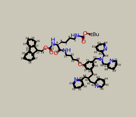 CC(C)(C)OC(=O)NCCCC[C@H](NC(=O)OCC1c2ccccc2-c2ccccc21)C(=O)NCCCCOc1cc(CC(Cc2ccccn2)Cc2ccccn2)cc(CN(Cc2ccccn2)Cc2ccccn2)c1